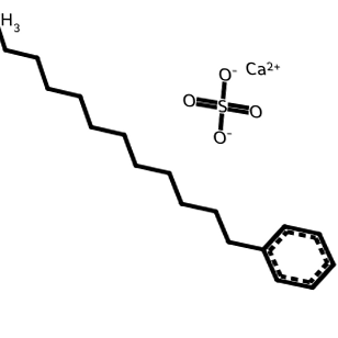 CCCCCCCCCCCCc1ccccc1.O=S(=O)([O-])[O-].[Ca+2]